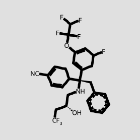 N#CC1=CCC([C@@](Cc2ccccc2)(NC[C@H](O)CC(F)(F)F)C2=CC(OC(F)(F)C(F)F)=CC(F)C2)C=C1